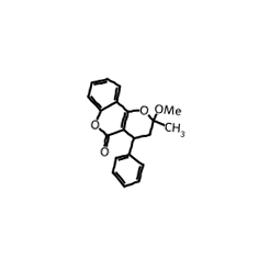 COC1(C)CC(c2ccccc2)c2c(c3ccccc3oc2=O)O1